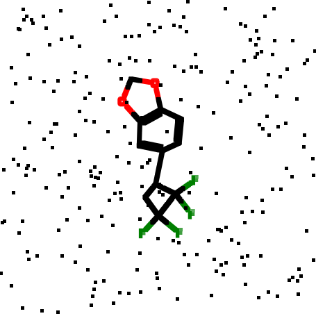 FC1(F)CC(c2ccc3c(c2)OCO3)C1(F)F